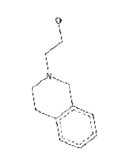 [O]CCN1CCc2ccccc2C1